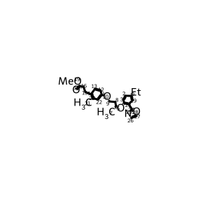 CCc1ccc(OC(C)CCOc2ccc(CCC(=O)OC)c(C)c2)c(-c2ncco2)c1